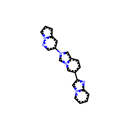 c1ccn2cc(-c3ccc4c[n+](-c5cnn6cccc6c5)cn4c3)nc2c1